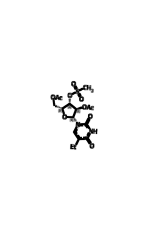 CCc1cn([C@@H]2O[C@H](COC(C)=O)[C@H](OS(C)(=O)=O)[C@H]2OC(C)=O)c(=O)[nH]c1=O